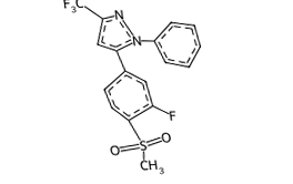 CS(=O)(=O)c1ccc(-c2cc(C(F)(F)F)nn2-c2ccccc2)cc1F